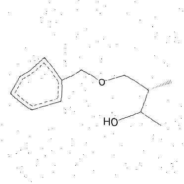 CC(O)[C@@H](C)COCc1ccccc1